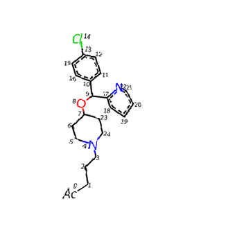 CC(=O)CCCN1CCC(OC(c2ccc(Cl)cc2)c2ccccn2)CC1